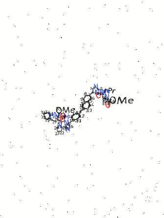 CCCN(Cc1ncc(-c2ccc3cc(-c4ccc(-c5cnc([C@@H]6CCCN6C(=O)[C@H](Cc6ccccc6)NC(=O)OC)[nH]5)cc4)ccc3c2)[nH]1)C(=O)[C@@H](NC(=O)OC)C(C)C